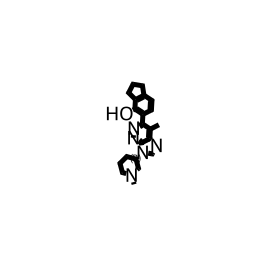 Cc1c(-c2ccc3c(c2O)CCC3)nnc2c1ncn2[C@@H]1CCCN(C)C1